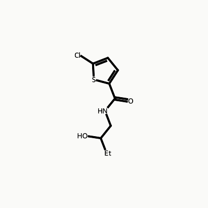 CCC(O)CNC(=O)c1ccc(Cl)s1